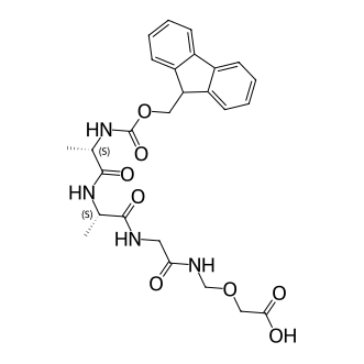 C[C@H](NC(=O)OCC1c2ccccc2-c2ccccc21)C(=O)N[C@@H](C)C(=O)NCC(=O)NCOCC(=O)O